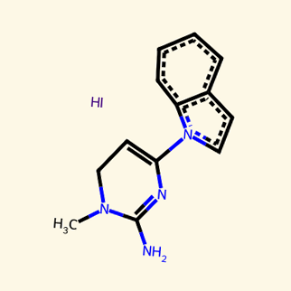 CN1CC=C(n2ccc3ccccc32)N=C1N.I